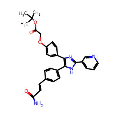 CC(C)(C)OC(=O)COc1ccc(-c2nc(-c3cccnc3)[nH]c2-c2ccc(/C=C/C(N)=O)cc2)cc1